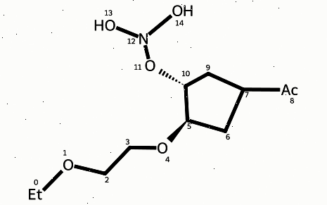 CCOCCO[C@@H]1CC(C(C)=O)C[C@H]1ON(O)O